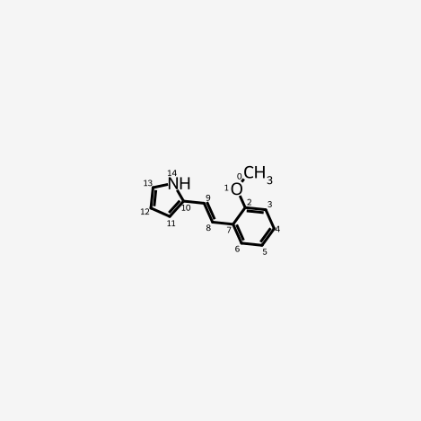 COc1ccccc1C=Cc1ccc[nH]1